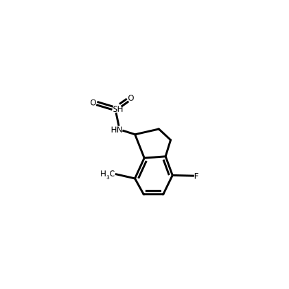 Cc1ccc(F)c2c1C(N[SH](=O)=O)CC2